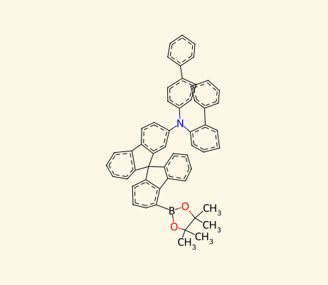 CC1(C)OB(c2cccc3c2-c2ccccc2C32c3ccccc3-c3ccc(N(c4ccc(-c5ccccc5)cc4)c4ccccc4-c4ccccc4)cc32)OC1(C)C